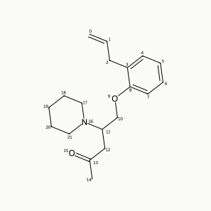 C=CCc1ccccc1OCC(CC(C)=O)N1CCCCC1